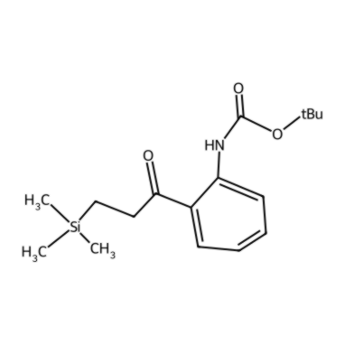 CC(C)(C)OC(=O)Nc1ccccc1C(=O)CC[Si](C)(C)C